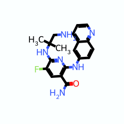 CC(C)(CN)Nc1nc(Nc2ccc3ncccc3c2)c(C(N)=O)cc1F